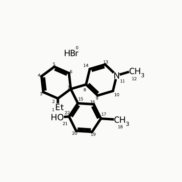 Br.CCC1C=CC=CC1(C1=CCN(C)C=C1)c1cc(C)ccc1O